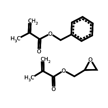 C=C(C)C(=O)OCC1CO1.C=C(C)C(=O)OCc1ccccc1